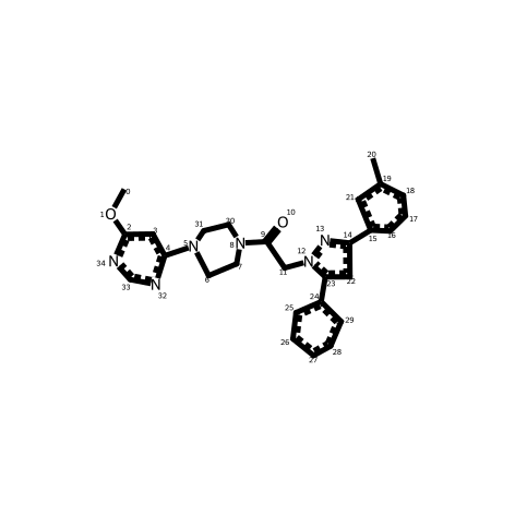 COc1cc(N2CCN(C(=O)Cn3nc(-c4cccc(C)c4)cc3-c3ccccc3)CC2)ncn1